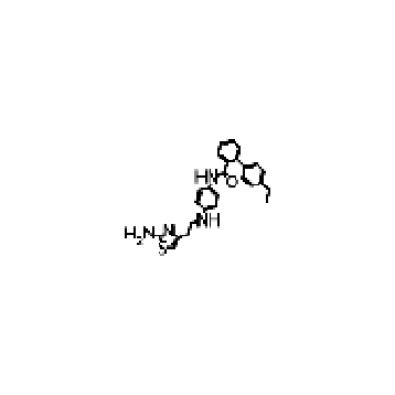 CCc1ccc(-c2ccccc2C(=O)Nc2ccc(NCCc3csc(N)n3)cc2)cc1